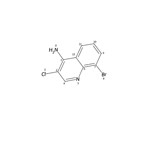 Nc1c(Cl)cnc2c(Br)cccc12